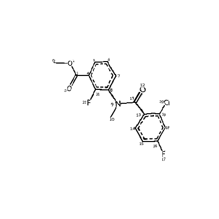 COC(=O)c1cccc(N(C)C(=O)c2ccc(F)cc2Cl)c1F